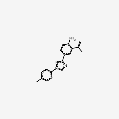 C=C(C)c1cc(-c2ncn(-c3ccc(C)cc3)n2)ccc1N